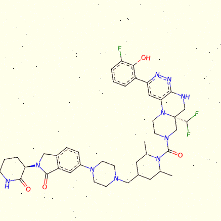 CC1CC(CN2CCN(c3ccc4c(c3)C(=O)N([C@@H]3CCC(=O)NC3=O)C4)CC2)CC(C)N1C(=O)N1CCN2c3cc(-c4cccc(F)c4O)nnc3NC[C@@]2(C(F)F)C1